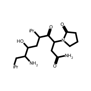 CC(C)CC(N)C(O)CC(C(=O)C(CC(N)=O)N1CCCC1=O)C(C)C